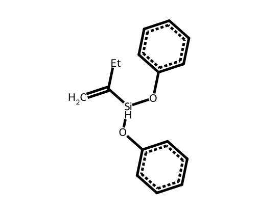 C=C(CC)[SiH](Oc1ccccc1)Oc1ccccc1